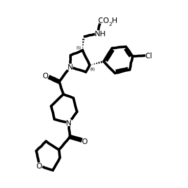 O=C(O)NC[C@H]1CN(C(=O)C2CCN(C(=O)C3CCOCC3)CC2)C[C@H]1c1ccc(Cl)cc1